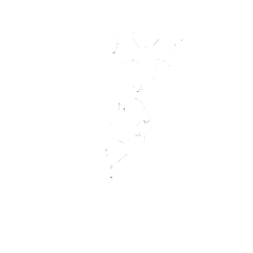 O=C(NC(Cc1ccc(OCCC2CCCC2)cc1)C(=O)O)OCC1c2ccccc2-c2ccccc21